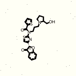 O=C1c2ccccc2O[C@H]1c1csc(N(CCCN2CCCC2CO)C(=O)c2cccs2)n1